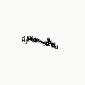 CN(C)C(=O)CN1CCN(CCCCCOc2ccc3c(c2)C(=O)C=C3c2ccc(Cl)cc2)CC1